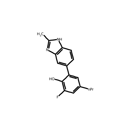 CCCc1cc(F)c(O)c(-c2ccc3[nH]c(C)nc3c2)c1